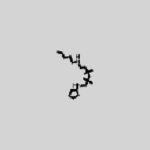 CCCCCNCCC(C)(C)CC(C)(C)CNC1CCCC1